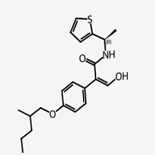 CCCC(C)COc1ccc(C(=CO)C(=O)N[C@H](C)c2cccs2)cc1